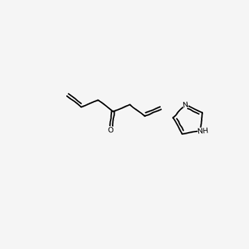 C=CCC(=O)CC=C.c1c[nH]cn1